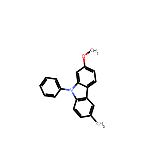 COc1ccc2c3cc(C)ccc3n(-c3ccccc3)c2c1